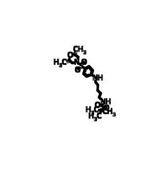 C[C@@H]1CN(S(=O)(=O)c2ccc(NCCCCCNS(=O)(=O)C(C)(C)C)cc2)C[C@H](C)O1